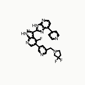 Fc1c(-c2cncc(CN3CCC(F)(F)C3)c2)cnc2[nH]nc(-c3nc4c(-c5ccncc5)ccnc4[nH]3)c12